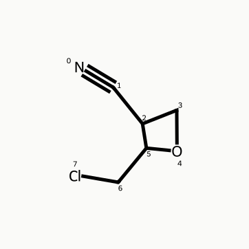 N#CC1COC1CCl